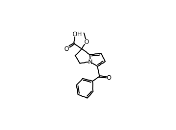 COC1(C(=O)O)CCn2c(C(=O)c3ccccc3)ccc21